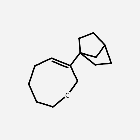 C1=C(C23CCC(CC2)C3)CCCCCC1